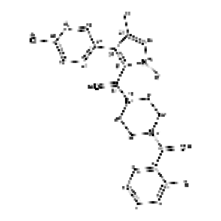 Cc1ccccc1C(=O)N1CCN(C(=O)c2c(-c3ccc(Cl)cc3)c(C)cn2C)CC1